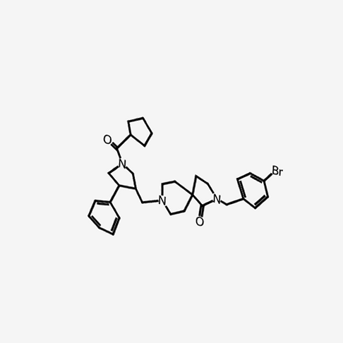 O=C(C1CCCC1)N1CC(CN2CCC3(CC2)CCN(Cc2ccc(Br)cc2)C3=O)C(c2ccccc2)C1